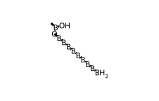 BB=BB=BB=BB=BOB(C)O